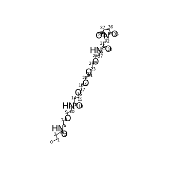 CCCC(=O)NCCOCCNC(=O)CCOCCOCCOCCOCCNC(=O)CCN1C(=O)C=CC1=O